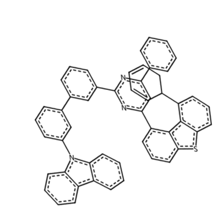 C1=CCC(c2cccc3sc4cccc(-c5cc(-c6ccccc6)nc(-c6cccc(-c7cccc(-n8c9ccccc9c9ccccc98)c7)c6)n5)c4c23)C=C1